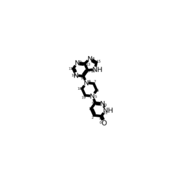 O=c1ccc(N2CCN(c3ncnc4nc[nH]c34)CC2)n[nH]1